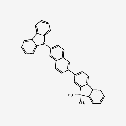 CC1(C)c2ccccc2-c2ccc(-c3ccc4cc(-n5c6ccccc6c6ccccc65)ccc4c3)cc21